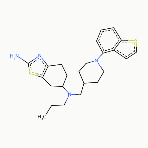 CCCN(CC1CCN(c2cccc3sccc23)CC1)C1CCc2nc(N)sc2C1